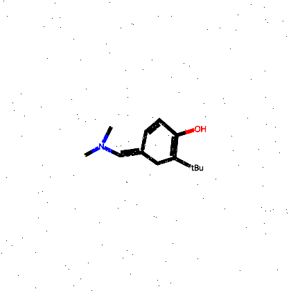 CN(C)C=C1C=CC(O)=C(C(C)(C)C)C1